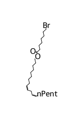 CCCCC/C=C\C/C=C\CCCCCCCCOC(=O)CCCCCCCBr